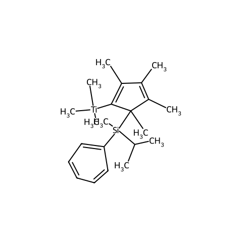 CC1=C(C)C(C)([Si](C)(c2ccccc2)C(C)C)[C]([Ti]([CH3])([CH3])[CH3])=C1C